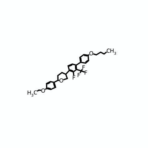 CCCCOc1ccc(-c2ccc(C3CCC(c4ccc(OCC)cc4)OC3)c(F)c2C(F)(F)F)cc1